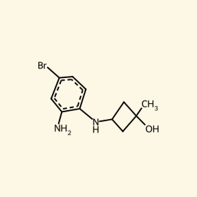 CC1(O)CC(Nc2ccc(Br)cc2N)C1